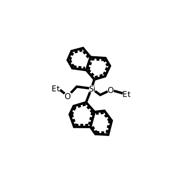 CCOC[Si](COCC)(c1cccc2ccccc12)c1cccc2ccccc12